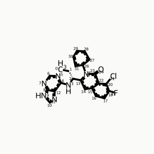 CC[C@@H](Nc1ncnc2[nH]cnc12)c1cc2ccc(F)c(Cl)c2c(=O)n1-c1ccccc1